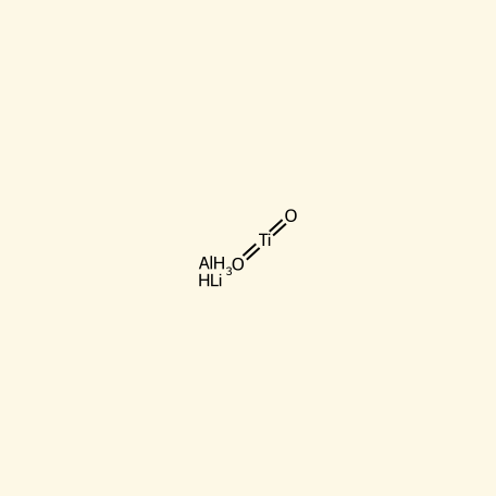 [AlH3].[LiH].[O]=[Ti]=[O]